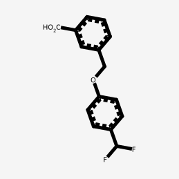 O=C(O)c1cccc(COc2ccc(C(F)F)cc2)c1